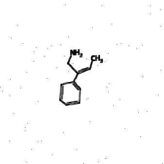 CC=C(CN)c1ccccc1